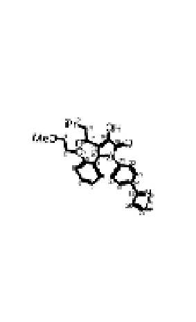 COCCOc1ccccc1C1C(C(=O)CC(C)C)=C(O)C(=O)N1c1ccc(-c2ccon2)cc1